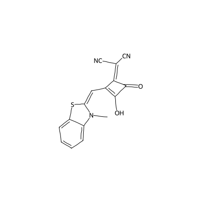 CN1C(=CC2=C(O)C(=O)C2=C(C#N)C#N)Sc2ccccc21